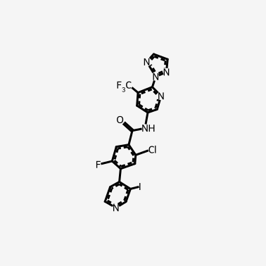 O=C(Nc1cnc(-n2nccn2)c(C(F)(F)F)c1)c1cc(F)c(-c2ccncc2I)cc1Cl